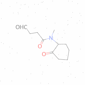 CN(C(=O)CCC=O)C1CCCCC1=O